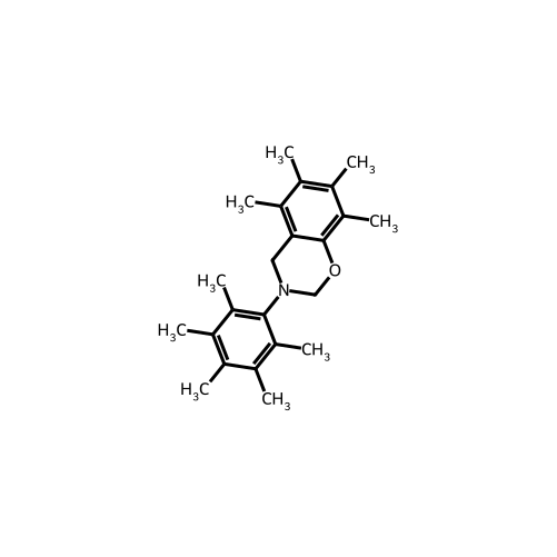 Cc1c(C)c(C)c(N2COc3c(C)c(C)c(C)c(C)c3C2)c(C)c1C